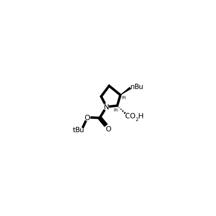 CCCC[C@@H]1CCN(C(=O)OC(C)(C)C)[C@H]1C(=O)O